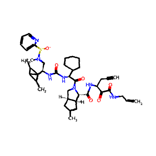 C#CCC(NC(=O)[C@@H]1[C@H]2CC(C)C[C@H]2CN1C(=O)[C@@H](NC(=O)N[C@H](CN(C)[S+]([O-])c1ccccn1)C12C(C)C1C2C)C1CCCCC1)C(=O)C(=O)NCC=C